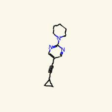 C(#CC1CC1)c1cnc(N2CCCCC2)nc1